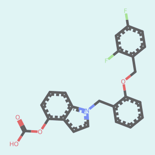 O=C(O)Oc1cccc2c1ccn2Cc1ccccc1OCc1ccc(F)cc1F